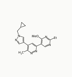 CCc1ncc(-c2cc(-c3cnn(CC4CC4)c3)c(C)nn2)c(OC)n1